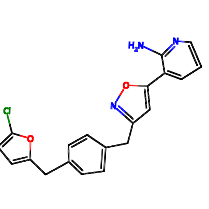 Nc1ncccc1-c1cc(Cc2ccc(Cc3ccc(Cl)o3)cc2)no1